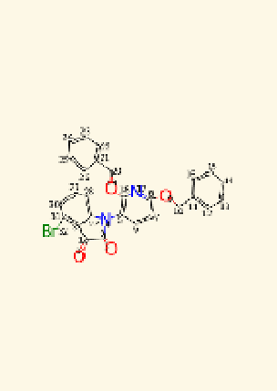 O=C1C(=O)N(c2ccc(OCc3ccccc3)nc2OCc2ccccc2)c2cccc(Br)c21